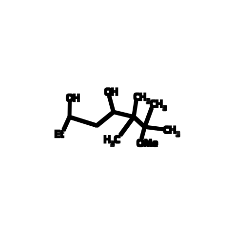 CCC(O)CC(O)C(C)(C)C(C)(C)OC